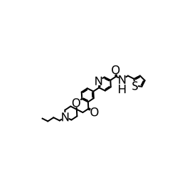 CCCCN1CCC2(CC1)CC(=O)c1cc(-c3ccc(C(=O)NCc4cccs4)cn3)ccc1O2